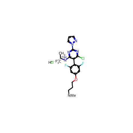 CNCCCOc1cc(F)c(-c2c(Cl)nc(-n3cccn3)nc2N[C@@H](C)C(F)(F)F)c(F)c1.[Cl-].[H+]